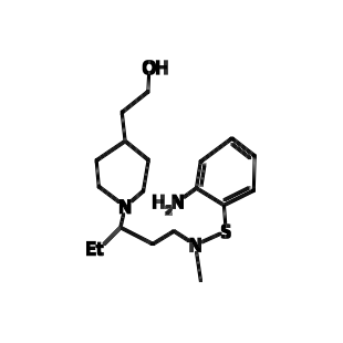 CCC(CCN(C)Sc1ccccc1N)N1CCC(CCO)CC1